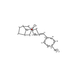 CC(C)(C)C(=O)N1C2CCC1CN(CC=Cc1ccc([N+](=O)[O-])cc1)C2